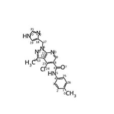 Cc1ccc(NC(=O)c2cnc3c(c(C)nn3Cc3c[nH]cn3)c2Cl)cc1